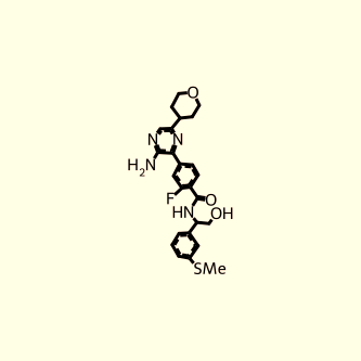 CSc1cccc(C(CO)NC(=O)c2ccc(-c3nc(C4CCOCC4)cnc3N)cc2F)c1